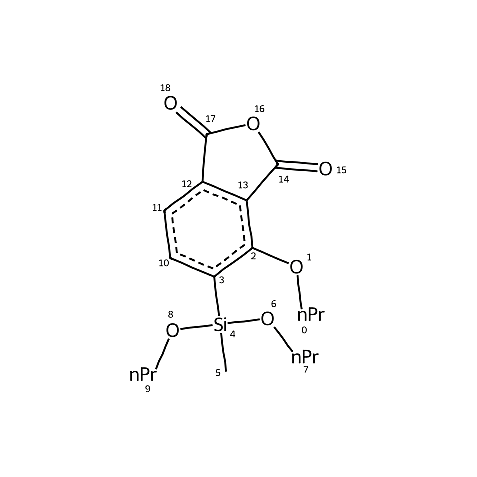 CCCOc1c([Si](C)(OCCC)OCCC)ccc2c1C(=O)OC2=O